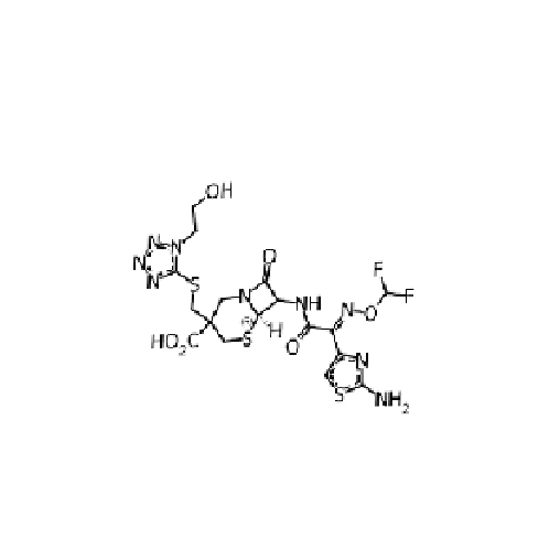 Nc1nc(C(=NOC(F)F)C(=O)NC2C(=O)N3CC(CSc4nnnn4CCO)(C(=O)O)CS[C@H]23)cs1